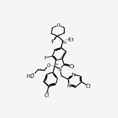 CC[C@H](c1cc(F)c2c(c1)C(=O)N(Cc1ncc(Cl)cn1)[C@@]2(OCCO)c1ccc(Cl)cc1)C1(F)CCOCC1